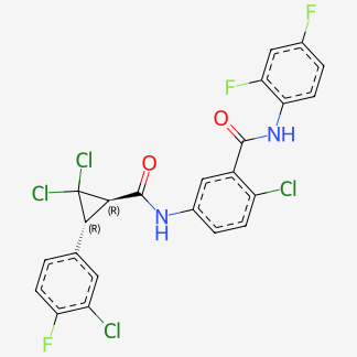 O=C(Nc1ccc(F)cc1F)c1cc(NC(=O)[C@H]2[C@H](c3ccc(F)c(Cl)c3)C2(Cl)Cl)ccc1Cl